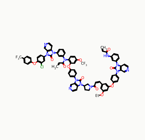 C=CC(=O)Nc1cccc(-n2c(=O)n(-c3ccc(Oc4cc(/C=C\C(=O)N5CCC(n6c(=O)n(-c7ccc(Oc8cc(OC(F)(F)F)ccc8N(C(=O)C=C)c8cccc(-n9c(=O)n(-c%10ccc(Oc%11ccc(C(F)(F)F)cc%11)c(Cl)c%10)c%10cnccc%109)c8)cc7)c7cnccc76)C5)cc(OCC)c4)cc3)c3cnccc32)c1